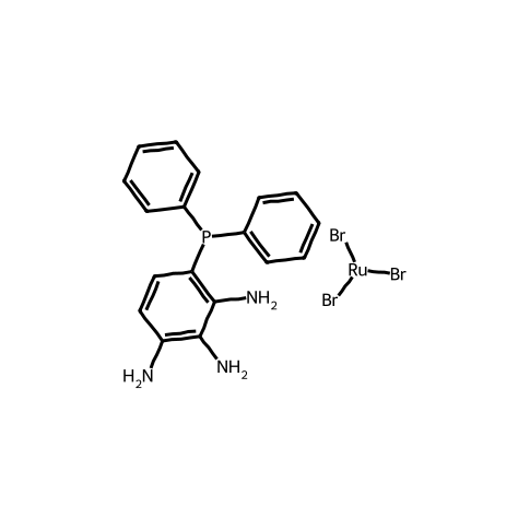 Nc1ccc(P(c2ccccc2)c2ccccc2)c(N)c1N.[Br][Ru]([Br])[Br]